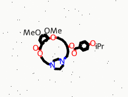 COc1cc2cc(c1OC)OCCCC(OC(=O)c1ccc(OC(C)C)cc1)CCN1CCCN(CCCOC2=O)CC1